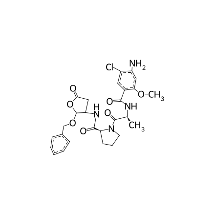 COc1cc(N)c(Cl)cc1C(=O)N[C@@H](C)C(=O)N1CCC[C@H]1C(=O)NC1CC(=O)OC1OCc1ccccc1